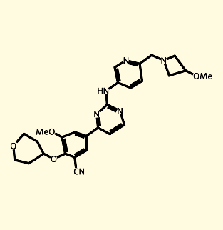 COc1cc(-c2ccnc(Nc3ccc(CN4CC(OC)C4)nc3)n2)cc(C#N)c1OC1CCOCC1